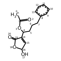 CC(=O)OC(CCCc1ccccc1)C1=CC(O)OC1=O